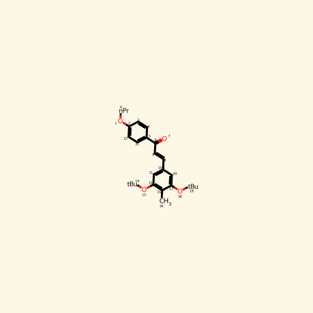 CCCOc1ccc(C(=O)C=Cc2cc(OC(C)(C)C)c(C)c(OC(C)(C)C)c2)cc1